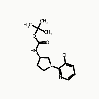 CC(C)(C)OC(=O)N[C@@H]1CCN(c2ncccc2Cl)C1